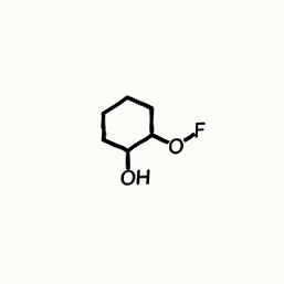 OC1CCCCC1OF